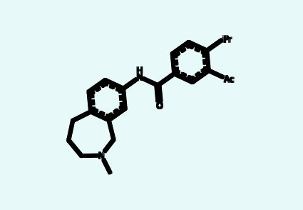 CC(=O)c1cc(C(=O)Nc2ccc3c(c2)CN(C)CCC3)ccc1C(C)C